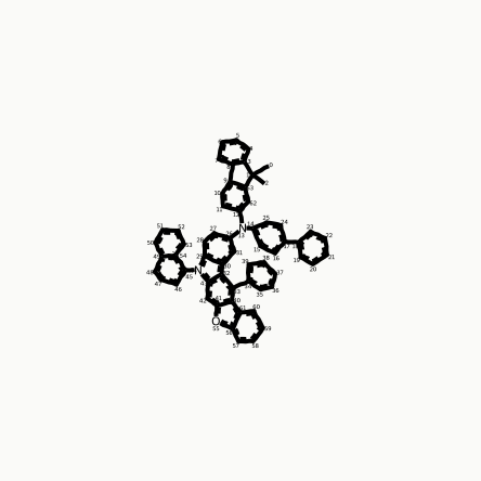 CC1(C)c2ccccc2-c2ccc(N(c3ccc(-c4ccccc4)cc3)c3ccc4c(c3)c3c(-c5ccccc5)c5c(cc3n4-c3cccc4ccccc34)oc3ccccc35)cc21